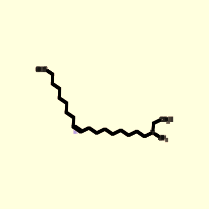 CN(CCCCCCCC/C=C\CCCCCCCC=O)CC(=O)O